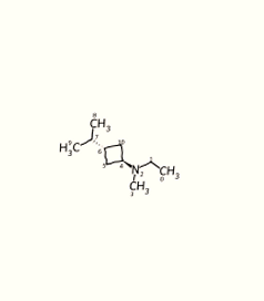 CCN(C)[C@H]1C[C@H](C(C)C)C1